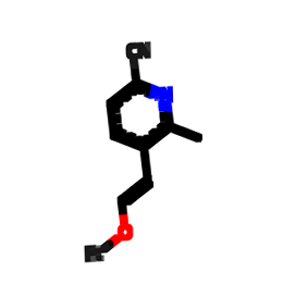 CCO/C=C/c1ccc(C#N)nc1C